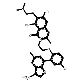 Cc1cc(-c2cc(Cl)ccc2OCCn2c(C)nc3cc(C(F)(F)F)c(CCN(C)C)c(C#N)c3c2=O)c2scc(C(=O)O)c2n1